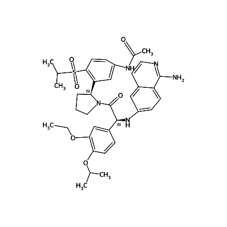 CCOc1cc([C@H](Nc2ccc3c(N)nccc3c2)C(=O)N2CCC[C@H]2c2cc(NC(C)=O)ccc2S(=O)(=O)C(C)C)ccc1OC(C)C